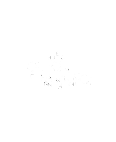 CCOc1cc(C2C(C(=O)c3cc4ccccc4o3)=C(O)C(=O)N2c2nnc(SCc3ccccc3F)s2)ccc1O